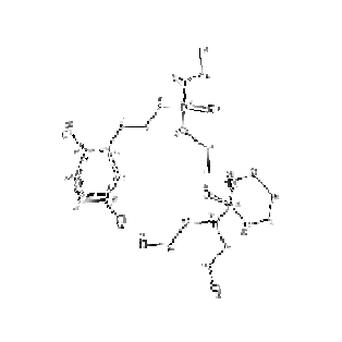 CCOP(=S)(OCC)SCSc1cc(Cl)ccc1Cl.O=P1(N(CCCl)CCCl)NCCCO1